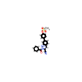 CS(=O)(=O)Oc1ccc(-c2ccc(C[C@@H](C#N)N(N)C(=O)C3CCCCC3)cc2)cc1